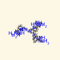 CCN(CCN(CCNCc1cccc(/C(=N/N)NN)n1)Cc1cccc(/C(=N/N)NN)n1)Cc1cccc(/C(N)=N/N)n1